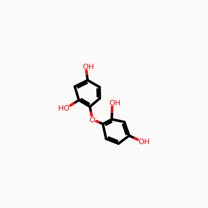 Oc1ccc(Oc2ccc(O)cc2O)c(O)c1